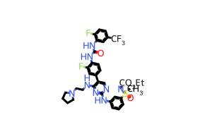 CCOC(=O)N=S(C)(=O)c1cccc(Nc2ncc(-c3ccc(NC(=O)Nc4cc(C(F)(F)F)ccc4F)c(F)c3)c(NCCN3CCCC3)n2)c1